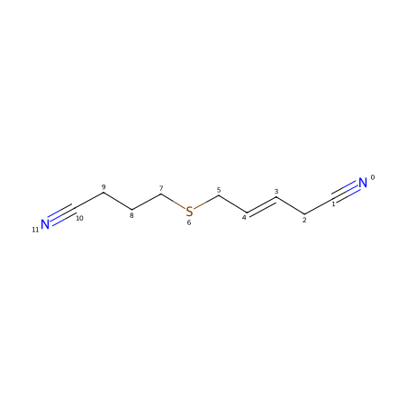 N#CCC=CCSCCCC#N